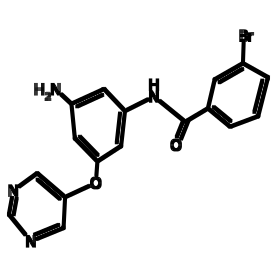 Nc1cc(NC(=O)c2cccc(Br)c2)cc(Oc2cncnc2)c1